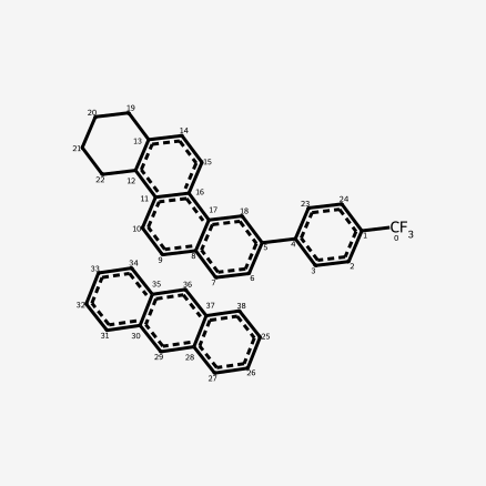 FC(F)(F)c1ccc(-c2ccc3ccc4c5c(ccc4c3c2)CCCC5)cc1.c1ccc2cc3ccccc3cc2c1